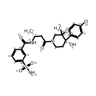 C[C@H](CC(=O)N1CC[C@](O)(c2ccc(Cl)cc2)C(C)(C)C1)NC(=O)c1cccc(S(N)(=O)=O)c1